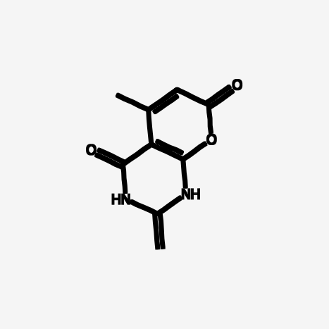 C=C1NC(=O)c2c(C)cc(=O)oc2N1